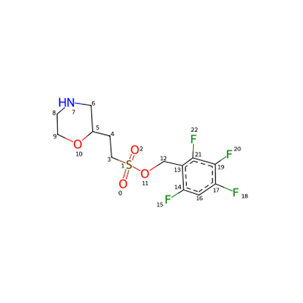 O=S(=O)(CCC1CNCCO1)OCc1c(F)cc(F)c(F)c1F